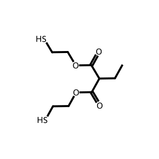 CCC(C(=O)OCCS)C(=O)OCCS